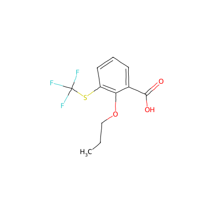 CCCOc1c(SC(F)(F)F)cccc1C(=O)O